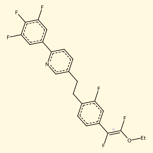 CCO/C(F)=C(\F)c1ccc(CCc2ccc(-c3cc(F)c(F)c(F)c3)nc2)c(F)c1